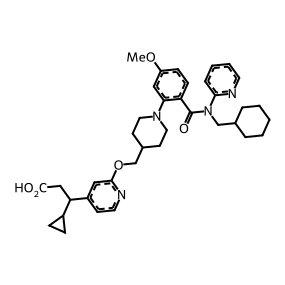 COc1ccc(C(=O)N(CC2CCCCC2)c2ccccn2)c(N2CCC(COc3cc(C(CC(=O)O)C4CC4)ccn3)CC2)c1